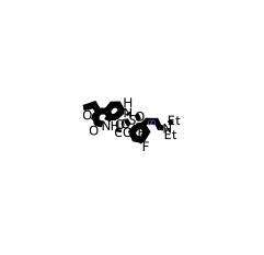 CCN(CC)C/C=C\c1cc(F)ccc1S(=O)(=O)Nc1ccc2c([nH]c(=O)c3occc32)c1OC(=O)O